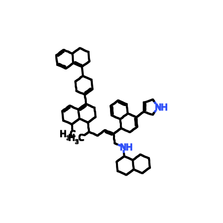 CC(C/C=C(\CNC1CCCC2CCCCC21)C1CC=C(C2=CCNC2)C2C=CC=CC21)C1CCC(C2=CCC(C3=C4C=CC=CC4CCC3)CC2)=C2C=CCC(C)C21